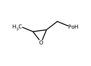 CC1OC1[CH2][PoH]